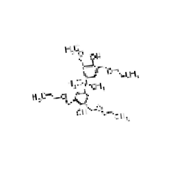 CCCOCc1cc(C(C)(C)c2cc(COCCC)c(O)c(COCCC)c2)cc(COC)c1O